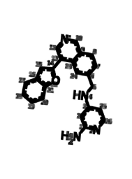 Nc1cc(NCc2ccc3cncc(-c4cc5ccccc5o4)c3c2)ccn1